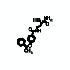 CC(Oc1ccc(C(=O)NCCN(O)C(N)=O)cc1)c1ccccc1